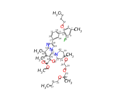 CCCCOc1cc(C)cc(F)c1-c1cccc(-c2cn3c(N4CCC(C)(OCCOC[C@@H](C)OCCCC)CC4)c(C(=O)C(=O)OC)c(C)c(C)c3n2)c1